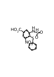 O=C(O)c1cc(N[SH](=O)=O)c(Sc2ccccc2)c([N+](=O)[O-])c1